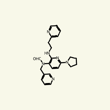 O=CN(Cc1cccnc1)c1ccc(N2CCCC2)nc1NCCc1ccccn1